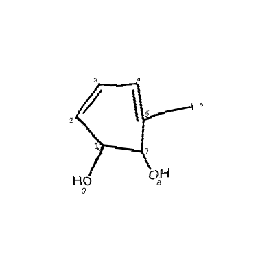 OC1C=CC=C(I)C1O